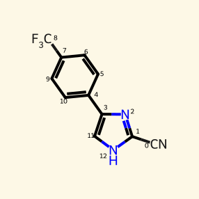 N#Cc1nc(-c2ccc(C(F)(F)F)cc2)c[nH]1